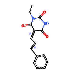 CCN1C(=O)NC(=O)/C(=C\C=C\c2ccccc2)C1=O